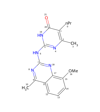 CCCc1c(C)nc(Nc2nc(C)c3cccc(OC)c3n2)[nH]c1=O